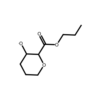 CCCOC(=O)C1OCCCC1[O]